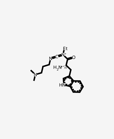 CC[N+](=C=NCCCN(C)C)C(=O)[C@@H](N)Cc1c[nH]c2ccccc12